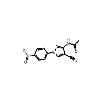 CC(=O)Nc1nn(-c2ccc([N+](=O)[O-])cc2)cc1C#N